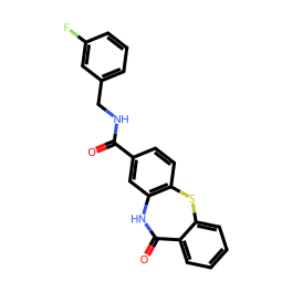 O=C(NCc1cccc(F)c1)c1ccc2c(c1)NC(=O)c1ccccc1S2